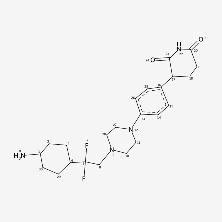 NC1CCC(C(F)(F)CN2CCN(c3ccc(C4CCC(=O)NC4=O)cc3)CC2)CC1